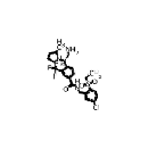 CCS(=O)(=O)c1ccc(Cl)cc1CNC(=O)c1ccc([C@H](CN)N2CCCC2C)c(C(F)(F)F)c1